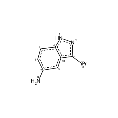 CC(C)c1n[nH]c2ccc(N)cc12